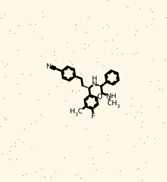 CNC(=O)[C@@H](N[C@H](CCc1ccc(C#N)cc1)c1ccc(F)c(C)c1)c1ccccc1